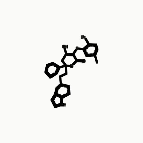 Cc1ccc(C(C)C)c(SC2=C(O)CC(CCc3ccc4[nH]ccc4c3)(c3ccccc3)OC2=O)c1